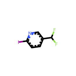 FC(F)c1ccc(I)nc1